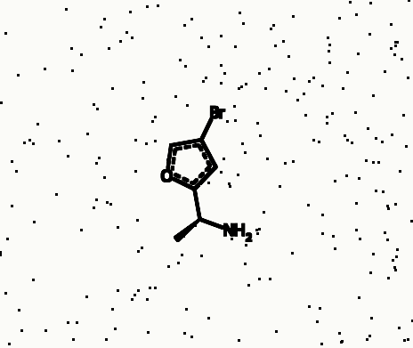 C[C@H](N)c1cc(Br)co1